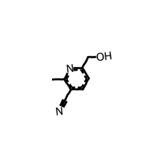 Cc1nc(CO)ccc1C#N